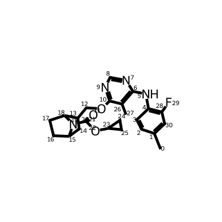 Cc1ccc(Nc2ncnc(OCC3CC4CCC3N4C(=O)OC3CC3)c2C)c(F)c1